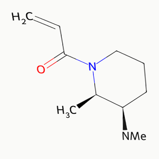 C=CC(=O)N1CCC[C@@H](NC)[C@H]1C